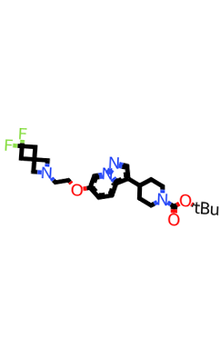 CC(C)(C)OC(=O)N1CCC(c2cnn3cc(OCCN4CC5(C4)CC(F)(F)C5)ccc23)CC1